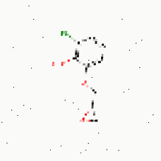 Oc1c(Br)cccc1OCC1CO1